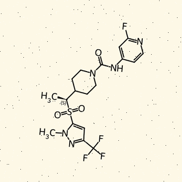 C[C@@H](C1CCN(C(=O)Nc2ccnc(F)c2)CC1)S(=O)(=O)c1cc(C(F)(F)F)nn1C